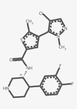 Cc1sc(C(=O)N[C@H]2CNCCC2c2ccc(F)c(F)c2)cc1-c1c(Cl)cnn1C